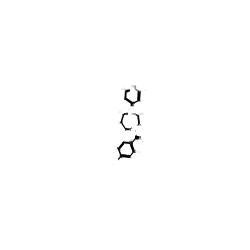 CC(C)(C)c1ccc(C(=O)N2CCCN(c3ccncc3)CC2)cc1